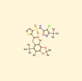 [2H]c1c(CC(=O)c2sccc2S(=O)(=O)Nc2onc(C([2H])([2H])[2H])c2Cl)c(C([2H])([2H])[2H])c([2H])c2c1OC([2H])([2H])O2